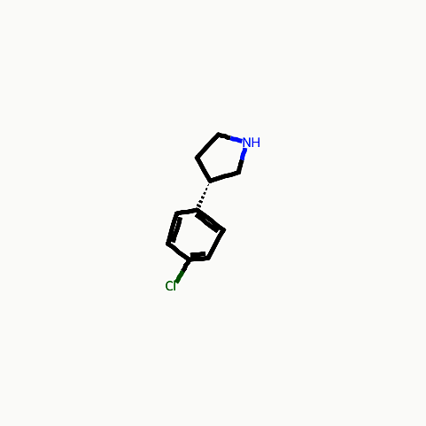 Clc1ccc([C@@H]2CCNC2)cc1